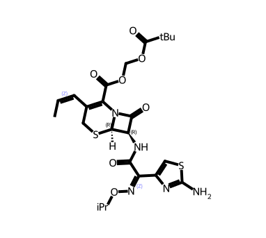 C/C=C\C1=C(C(=O)OCOC(=O)C(C)(C)C)N2C(=O)[C@@H](NC(=O)/C(=N\OC(C)C)c3csc(N)n3)[C@H]2SC1